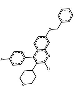 Fc1ccc(-c2c(C3CCOCC3)c(Cl)nc3cc(OCc4ccccc4)ccc23)cc1